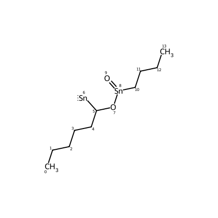 CCCCC[CH]([Sn])[O][Sn](=[O])[CH2]CCC